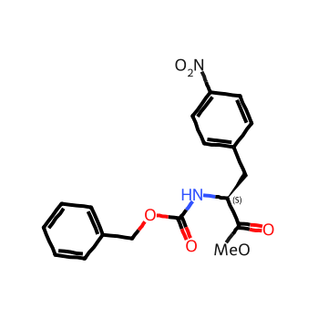 COC(=O)[C@H](Cc1ccc([N+](=O)[O-])cc1)NC(=O)OCc1ccccc1